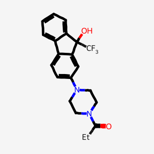 CCC(=O)N1CCN(c2ccc3c(c2)C(O)(C(F)(F)F)c2ccccc2-3)CC1